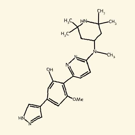 COc1cc(-c2cn[nH]c2)cc(O)c1-c1ccc(N(C)C2CC(C)(C)NC(C)(C)C2)nn1